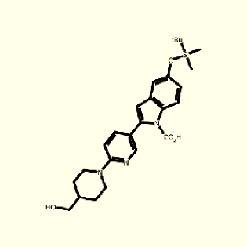 CC(C)(C)[Si](C)(C)Oc1ccc2c(c1)cc(-c1ccc(N3CCC(CO)CC3)nc1)n2C(=O)O